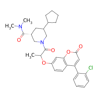 CC(Oc1ccc2c(-c3ccccc3Cl)cc(=O)oc2c1)C(=O)N1CC(C2CCCC2)C[C@@H](C(=O)N(C)C)C1